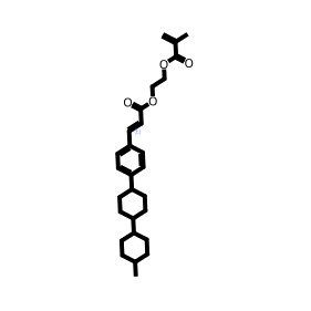 C=C(C)C(=O)OCCOC(=O)/C=C/c1ccc(C2CCC(C3CCC(C)CC3)CC2)cc1